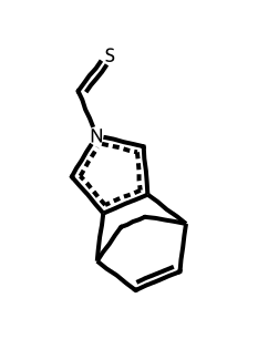 S=Cn1cc2c(c1)C1C=CC2CC1